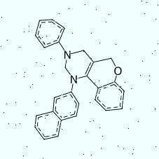 c1ccc(N2CC3=C(c4ccccc4OC3)N(c3ccc4ccccc4c3)C2)cc1